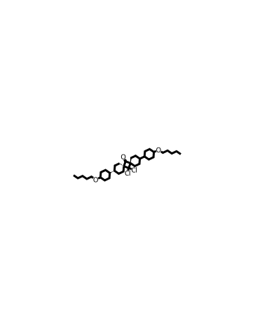 CCCCCOC1CCC(C2CC[C@]3(CC2)C(=O)[C@@]2(CC[C@@H](C4CCC(OCCCCC)CC4)CC2)C3(Cl)Cl)CC1